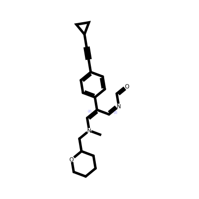 CN(/C=C(\C=N/C=O)c1ccc(C#CC2CC2)cc1)CC1CCCCO1